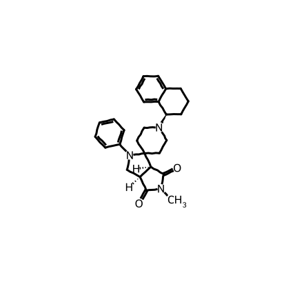 CN1C(=O)[C@H]2CN(c3ccccc3)C3(CCN([C@@H]4CCCc5ccccc54)CC3)[C@H]2C1=O